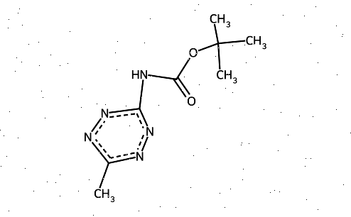 Cc1nnc(NC(=O)OC(C)(C)C)nn1